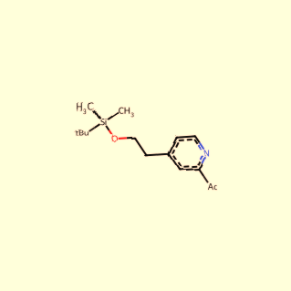 CC(=O)c1cc(CCO[Si](C)(C)C(C)(C)C)ccn1